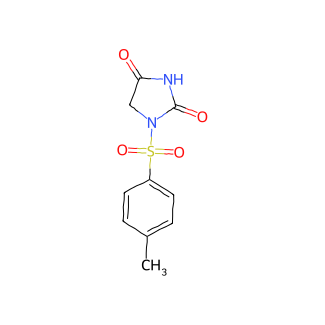 Cc1ccc(S(=O)(=O)N2CC(=O)NC2=O)cc1